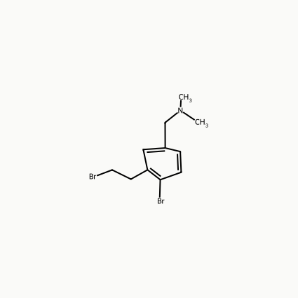 CN(C)Cc1ccc(Br)c(CCBr)c1